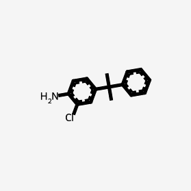 CC(C)(c1ccccc1)c1ccc(N)c(Cl)c1